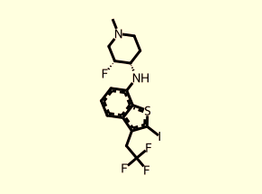 CN1CC[C@H](Nc2cccc3c(CC(F)(F)F)c(I)sc23)[C@H](F)C1